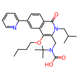 CCCCOc1c(CN(C(=O)O)C(C)(C)C)n(CC(C)C)c(=O)c2ccc(-c3ccccn3)cc12